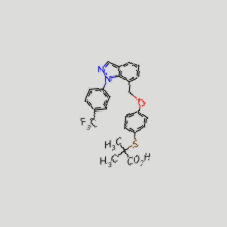 CC(C)(Sc1ccc(OCc2cccc3cnn(-c4ccc(C(F)(F)F)cc4)c23)cc1)C(=O)O